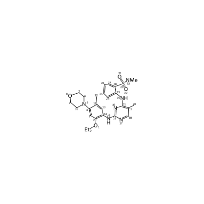 CCOc1cc(N2CCOCC2)c(C)cc1Nc1ncc(C)c(Nc2ccccc2S(=O)(=O)NC)n1